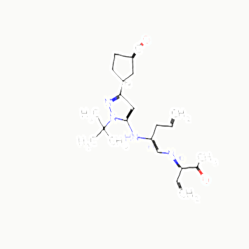 C=CC/C(=C\N=C(/C=C)C(C)=O)Nc1cc([C@H]2CCC(=C=O)C2)nn1C(C)(C)C